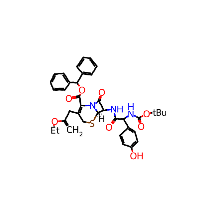 C=C(CC1=C(C(=O)OC(c2ccccc2)c2ccccc2)N2C(=O)C(NC(=O)C(NC(=O)OC(C)(C)C)c3ccc(O)cc3)[C@H]2SC1)OCC